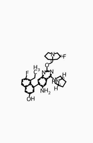 CCc1c(F)ccc2cc(O)cc(-c3cc4nc(OC[C@@]56CCCN5C[C@H](F)C6)nc(N5C[C@H]6CC[C@@H](C5)N6)c4cc3N)c12